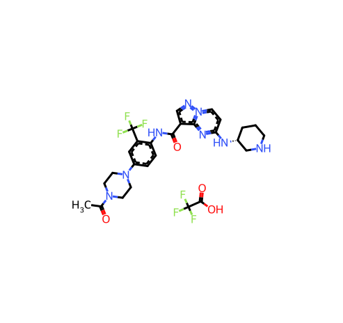 CC(=O)N1CCN(c2ccc(NC(=O)c3cnn4ccc(N[C@@H]5CCCNC5)nc34)c(C(F)(F)F)c2)CC1.O=C(O)C(F)(F)F